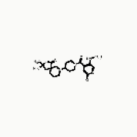 CC1(C)CC2(CCCN(C3CCN(C(=O)c4cc(Cl)ncc4NC(=O)O)CC3)C2)C(=O)O1